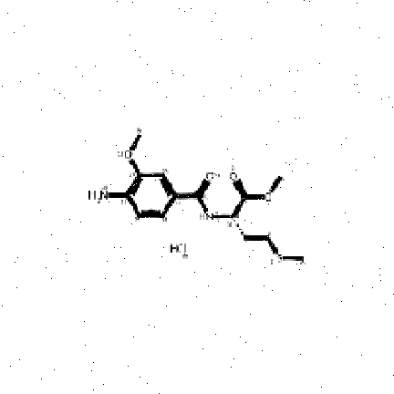 COC(=O)[C@H](CCSC)NC(=O)c1ccc(N)c(OC)c1.Cl